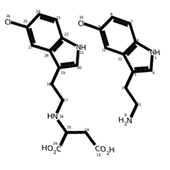 NCCc1c[nH]c2ccc(Cl)cc12.O=C(O)CC(NCCc1c[nH]c2ccc(Cl)cc12)C(=O)O